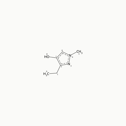 CCc1nn(C)cc1O